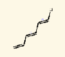 [CH]=C/C=C/C=C/Cl